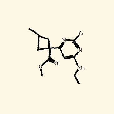 CCNc1cc(C2(C(=O)OC)CC(C)C2)nc(Cl)n1